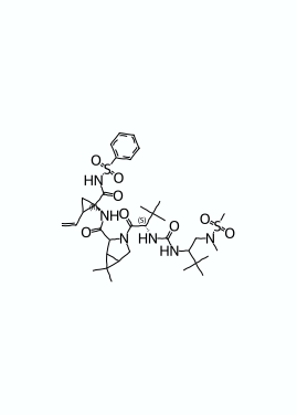 C=CC1C[C@]1(NC(=O)C1C2C(CN1C(=O)[C@@H](NC(=O)NC(CN(C)S(C)(=O)=O)C(C)(C)C)C(C)(C)C)C2(C)C)C(=O)NS(=O)(=O)c1ccccc1